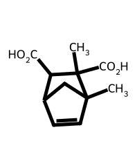 CC12C=CC(C1)C(C(=O)O)C2(C)C(=O)O